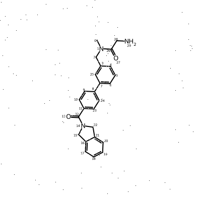 CN(Cc1cccc(-c2ccc(C(=O)N3Cc4ccccc4C3)cc2)c1)C(=O)CN